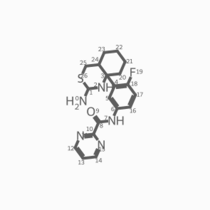 NC1NC2(c3cc(NC(=O)c4ncccn4)ccc3F)CCCCC2CS1